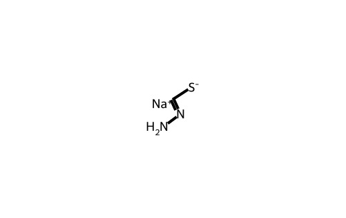 NN=C[S-].[Na+]